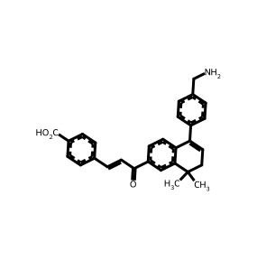 CC1(C)CC=C(c2ccc(CN)cc2)c2ccc(C(=O)C=Cc3ccc(C(=O)O)cc3)cc21